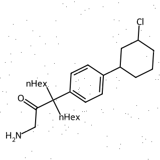 CCCCCCC(CCCCCC)(C(=O)CN)c1ccc(C2CCCC(Cl)C2)cc1